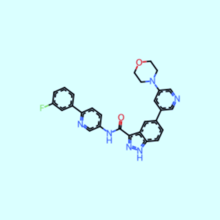 O=C(Nc1ccc(-c2cccc(F)c2)nc1)c1n[nH]c2ccc(-c3cncc(N4CCOCC4)c3)cc12